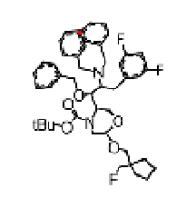 CC(C)(C)OC(=O)N1C[C@H](OCC2(CF)CCCC2)OC[C@@H]1[C@@H](OCc1ccccc1)[C@H](Cc1cc(F)cc(F)c1)N(Cc1ccccc1)Cc1ccccc1